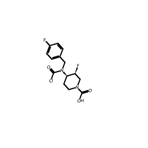 O=C(O)N1CC[C@@H](N(Cc2ccc(F)cc2)C(=O)Cl)[C@@H](F)C1